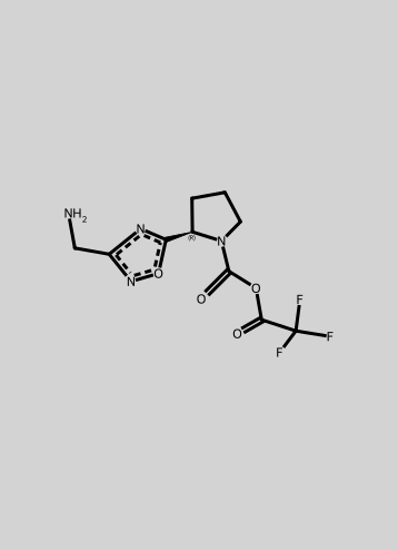 NCc1noc([C@H]2CCCN2C(=O)OC(=O)C(F)(F)F)n1